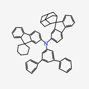 c1ccc(-c2cc(-c3ccccc3)cc(N(c3ccc4c(c3)C3(CCCCC3)c3ccccc3-4)c3ccc4c(c3)C3(c5ccccc5-4)C4CC5CC(C4)CC3C5)c2)cc1